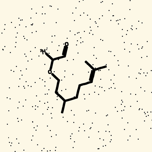 [2H]C(C=O)OCCC(C)CCC=C(C)C